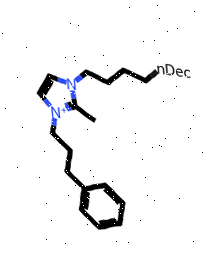 CCCCCCCCCCCCCCn1cc[n+](CCCc2ccccc2)c1C